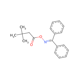 CC(C)(C)CC(=O)ON=C(c1ccccc1)c1ccccc1